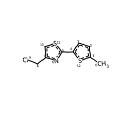 Cc1ccc(-c2nc(CCl)cs2)s1